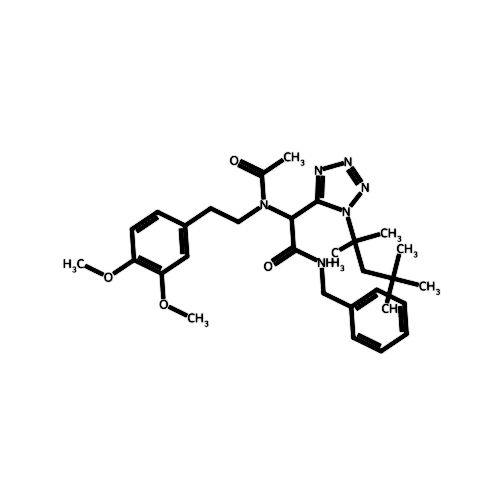 COc1ccc(CCN(C(C)=O)C(C(=O)NCc2ccccc2)c2nnnn2C(C)(C)CC(C)(C)C)cc1OC